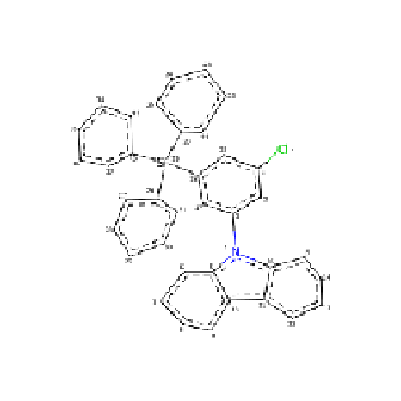 Clc1cc(-n2c3ccccc3c3ccccc32)cc([Si](c2ccccc2)(c2ccccc2)c2ccccc2)c1